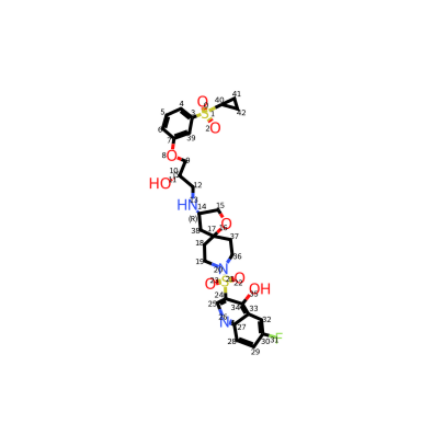 O=S(=O)(c1cccc(OC[C@@H](O)CN[C@H]2COC3(CCN(S(=O)(=O)c4cnc5ccc(F)cc5c4O)CC3)C2)c1)C1CC1